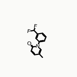 Cc1ccc(=O)n(-c2cccc(C(F)F)c2)c1